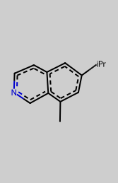 Cc1cc(C(C)C)cc2ccncc12